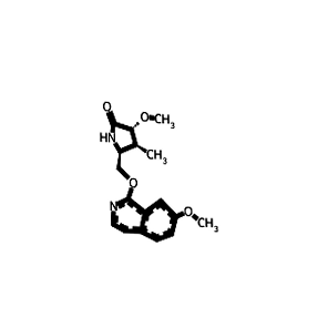 COc1ccc2ccnc(OC[C@H]3NC(=O)[C@H](OC)[C@H]3C)c2c1